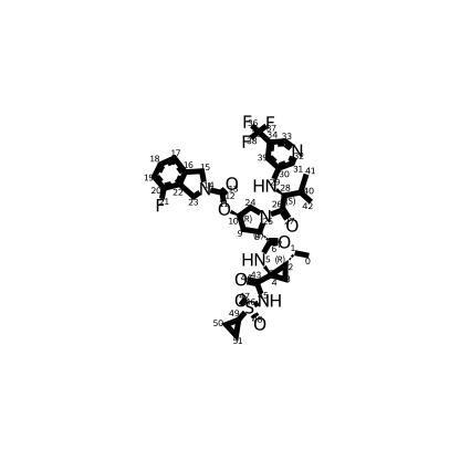 CC[C@@H]1C[C@]1(NC(=O)[C@@H]1C[C@@H](OC(=O)N2Cc3cccc(F)c3C2)CN1C(=O)[C@@H](Nc1cncc(C(F)(F)F)c1)C(C)C)C(=O)NS(=O)(=O)C1CC1